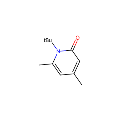 Cc1cc(C)n(C(C)(C)C)c(=O)c1